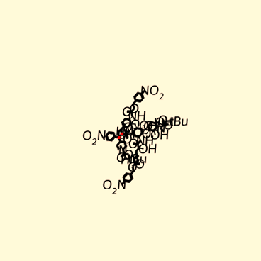 CN(C(=O)OC(C)(C)C)[C@@H]1[C@@H](O)[C@@H](O[C@@H]2[C@@H](O)[C@H](O[C@H]3OC(CNCC4CCN(C(=O)OC(C)(C)C)CC4)=CC[C@H]3NC(=O)OCc3ccc([N+](=O)[O-])cc3)[C@@H](NC(=O)OCc3ccc([N+](=O)[O-])cc3)C[C@H]2NC(=O)[C@@H](O)CCNC(=O)OCc2ccc([N+](=O)[O-])cc2)OC[C@]1(C)O